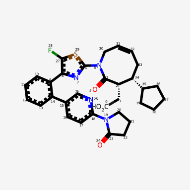 O=C(O)C[C@@H]1C(=O)N(c2nc(-c3ccccc3-c3ccc(N4CCCC4=O)nc3)c(F)s2)CC=CC[C@@H]1C1CCCC1